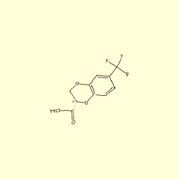 O=C(O)[C@@H]1COc2cc(C(F)(F)F)ccc2O1